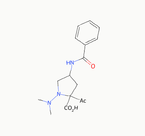 CC(=O)C1(C(=O)O)CC(NC(=O)c2ccccc2)CN1N(C)C